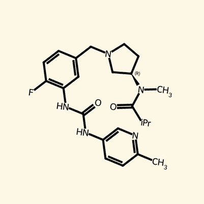 Cc1ccc(NC(=O)Nc2cc(CN3CC[C@@H](N(C)C(=O)C(C)C)C3)ccc2F)cn1